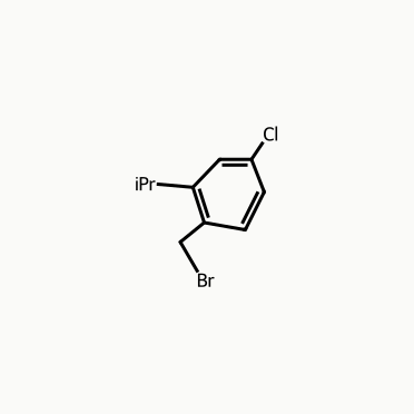 CC(C)c1cc(Cl)ccc1CBr